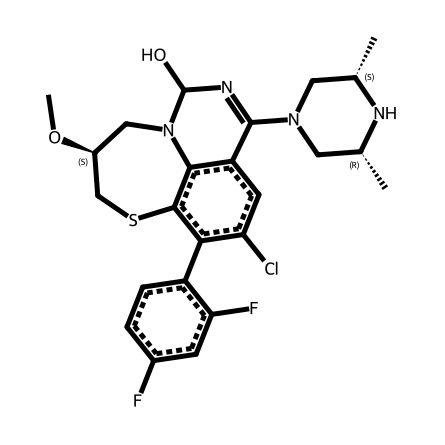 CO[C@@H]1CSc2c(-c3ccc(F)cc3F)c(Cl)cc3c2N(C1)C(O)N=C3N1C[C@@H](C)N[C@@H](C)C1